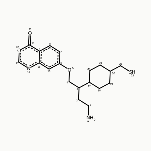 NCCC(COc1ccc2c(=O)ocnc2c1)C1CCC(CS)CC1